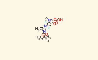 CC(C)(C)OC(=O)N1CC2N(c3c(F)cc4c(=O)c(OC(=O)O)cn(C5CC5)c4c3F)CCC2(C)C1